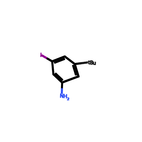 CC(C)(C)c1cc(N)cc(I)c1